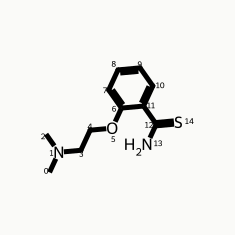 CN(C)CCOc1ccccc1C(N)=S